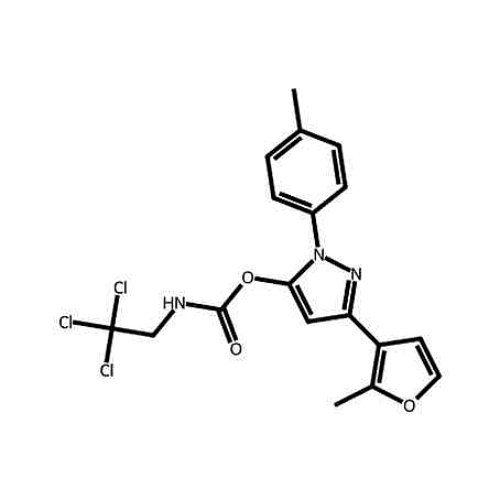 Cc1ccc(-n2nc(-c3ccoc3C)cc2OC(=O)NCC(Cl)(Cl)Cl)cc1